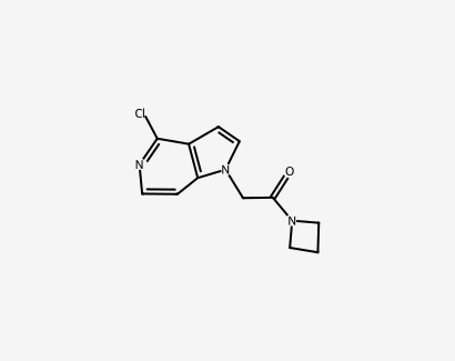 O=C(Cn1ccc2c(Cl)nccc21)N1CCC1